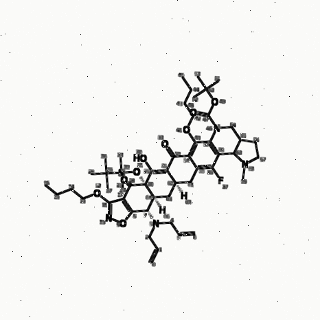 C=CCN(CC=C)[C@@H]1c2onc(OCCCC)c2C(=O)[C@@]2(O[Si](C)(C)C(C)(C)C)C(O)=C3C(=O)c4c(c(F)c5c(c4OCCCC)N(C(=O)OC(C)(C)C)CC4CCN(C)C54)C[C@H]3C[C@@H]12